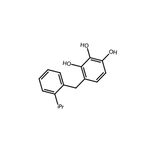 CC(C)c1ccccc1Cc1ccc(O)c(O)c1O